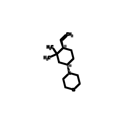 C=C[C@H]1CC[C@H](N2CCOCC2)CC1(C)C